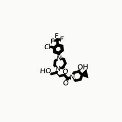 O=C(CC[C@@H](CO)N1CCN(c2ccc(C(F)(F)F)c(Cl)c2)CCC1=O)N1CCC2(CC2)C(O)C1